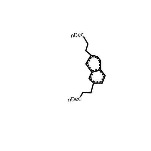 CCCCCCCCCCCCc1ccc2ccc(CCCCCCCCCCCC)cc2c1